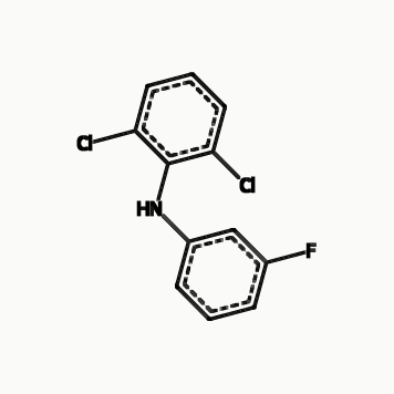 Fc1cccc(Nc2c(Cl)cccc2Cl)c1